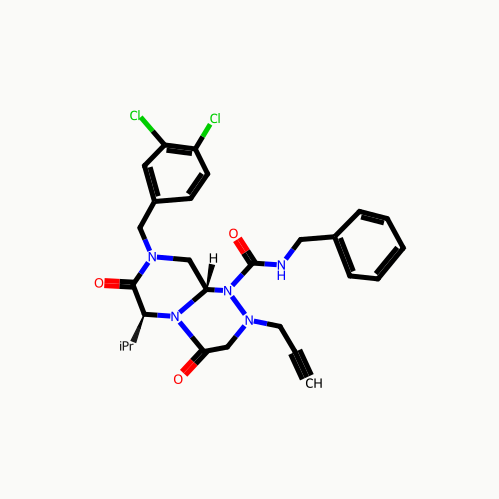 C#CCN1CC(=O)N2[C@@H](C(C)C)C(=O)N(Cc3ccc(Cl)c(Cl)c3)C[C@@H]2N1C(=O)NCc1ccccc1